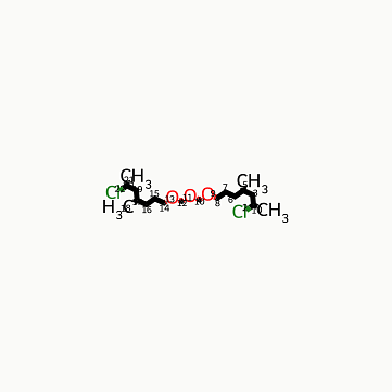 CC(Cl)CC(C)CCCOCOCOCCCC(C)CC(C)Cl